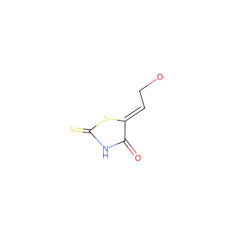 [O]CC=C1SC(=S)NC1=O